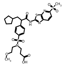 COCCN(CCC(=O)O)S(=O)(=O)c1ccc(C(CC2CCCC2)C(=O)Nc2nc3ccc(S(C)(=O)=O)nc3s2)cc1